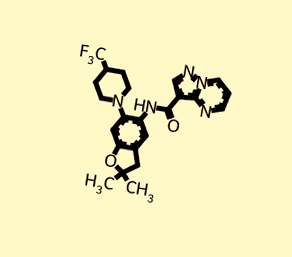 CC1(C)Cc2cc(NC(=O)c3cnn4cccnc34)c(N3CCC(C(F)(F)F)CC3)cc2O1